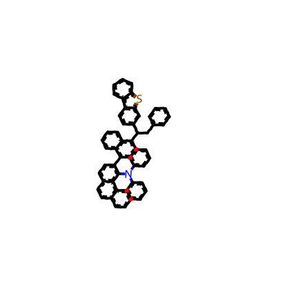 c1ccc(CC(c2ccc3c(c2)sc2ccccc23)c2ccc(-c3ccc4ccc5ccccc5c4c3N(c3ccccc3)c3ccccc3)c3ccccc23)cc1